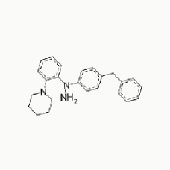 NN(c1ccc(Cc2ccccc2)cc1)c1ccccc1N1CCCCC1